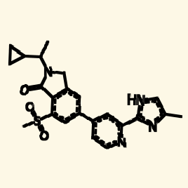 Cc1c[nH]c(-c2cc(-c3cc4c(c(S(C)(=O)=O)c3)C(=O)N(C(C)C3CC3)C4)ccn2)n1